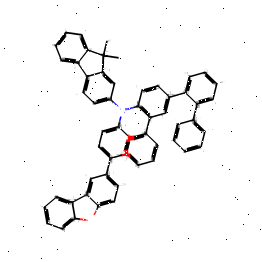 CC1(C)c2ccccc2-c2ccc(N(c3ccc(-c4ccc5oc6ccccc6c5c4)cc3)c3ccc(-c4ccccc4-c4ccccc4)cc3-c3ccccc3)cc21